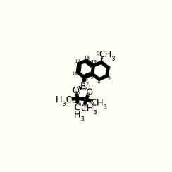 C[C@H]1CCCc2c(B3OC(C)(C)C(C)(C)O3)cccc21